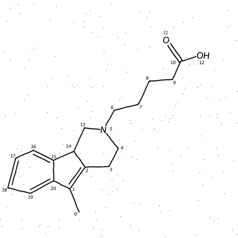 CC1=C2CCN(CCCCC(=O)O)CC2c2ccccc21